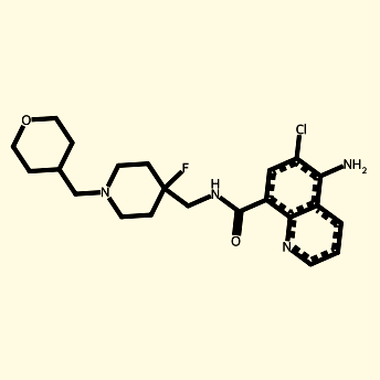 Nc1c(Cl)cc(C(=O)NCC2(F)CCN(CC3CCOCC3)CC2)c2ncccc12